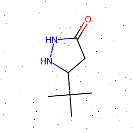 CC(C)(C)C1CC(=O)NN1